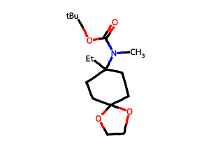 CCC1(N(C)C(=O)OC(C)(C)C)CCC2(CC1)OCCO2